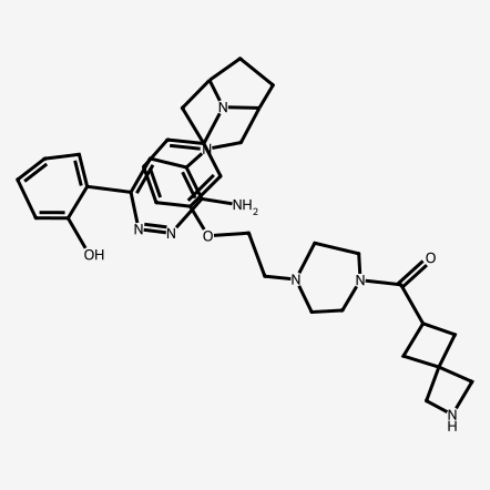 Nc1nnc(-c2ccccc2O)cc1N1CC2CCC(C1)N2c1cccc(OCCN2CCN(C(=O)C3CC4(CNC4)C3)CC2)c1